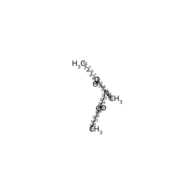 CCCCCCCCCOC(=O)CCCCCN(CCC)CCCCCC(=O)OCCCCCCCCC